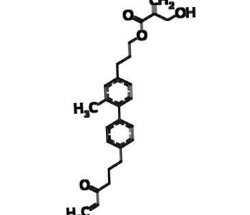 C=CC(=O)CCCc1ccc(-c2ccc(CCCOC(=O)C(=C)CO)cc2C)cc1